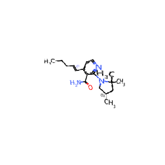 CCC/C=C/c1ccnc(N2C[C@@H](C)CC2(C)C)c1C(N)=O